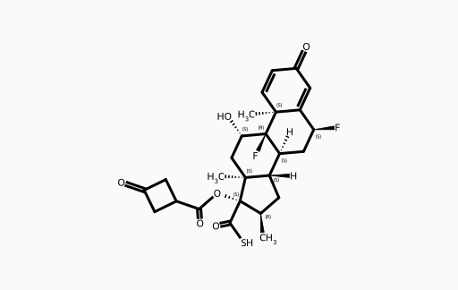 C[C@@H]1C[C@H]2[C@@H]3C[C@H](F)C4=CC(=O)C=C[C@]4(C)[C@@]3(F)[C@@H](O)C[C@]2(C)[C@]1(OC(=O)C1CC(=O)C1)C(=O)S